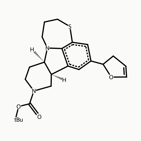 CC(C)(C)OC(=O)N1CC[C@@H]2[C@H](C1)c1cc(C3CC=CO3)cc3c1N2CCCS3